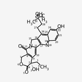 CC[C@@]1(O)C(=O)OCc2c1cc1n(c2=O)Cc2c-1nc1ccc(O)cc1c2CC[Si](C)(C)O